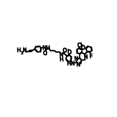 COc1cc(Nc2ncc3c(n2)-c2ccc(Cl)cc2C(c2c(F)cccc2OC)=NC3)ccc1C(=O)NCCCCCC(=O)Nc1ccc(C#CCN)cc1